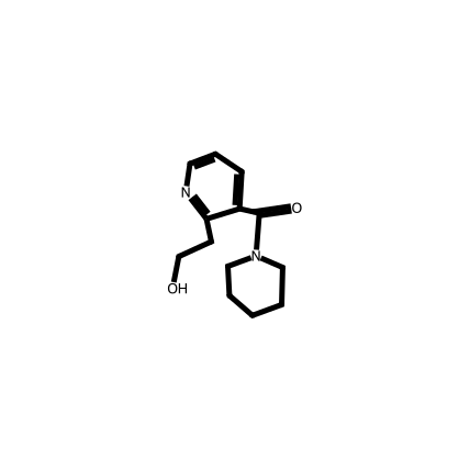 O=C(c1cccnc1CCO)N1CCCCC1